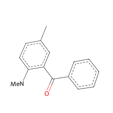 CNc1ccc(C)cc1C(=O)c1ccccc1